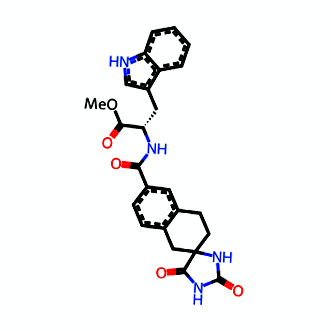 COC(=O)[C@H](Cc1c[nH]c2ccccc12)NC(=O)c1ccc2c(c1)CCC1(C2)NC(=O)NC1=O